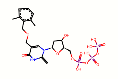 C=C1NC(=O)C(COCc2c(C)cccc2C)=CN1[C@H]1CC(O)[C@@H](COP(=O)(O)OP(=O)(O)OP(=O)(O)O)O1